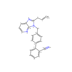 C=CCc1nc2cccnc2n1Cc1ccc(-c2ccccc2C#N)cc1